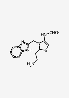 NCCC1SC=C(N[C]=O)N1Cc1nc2ccccc2[nH]1